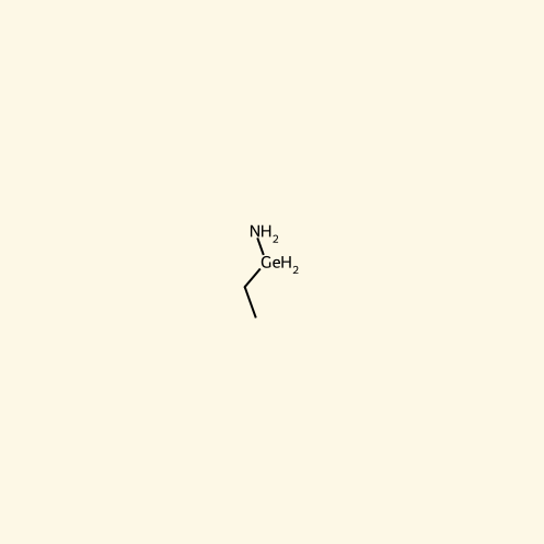 C[CH2][GeH2][NH2]